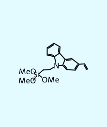 C=Cc1ccc2c(c1)c1ccccc1n2CC[Si](OC)(OC)OC